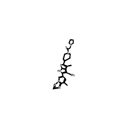 Cc1c(C2CCN(C(=O)CN3CCCC3)CC2)sc2[nH]c(-c3cc(C)c4ncnn4c3)c(C(C)C)c12